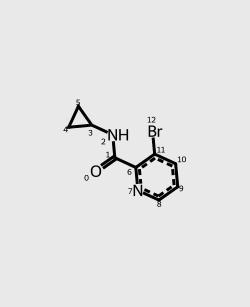 O=C(NC1CC1)c1ncccc1Br